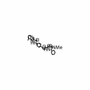 CNC(=O)[C@@H](NC(=O)c1ccc(-c2ccc(NC(=O)c3cn4cccc(C)c4n3)cc2)o1)C1CCCCC1